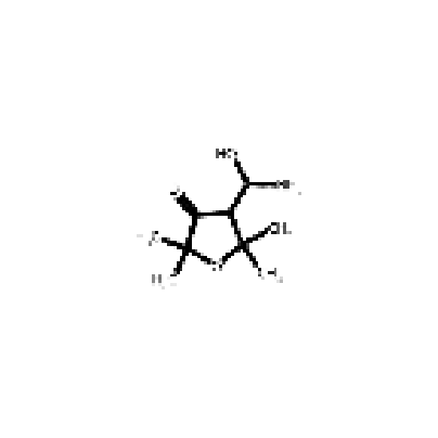 CC1(C)OC(C)(C)C(C(N)O)C1=O